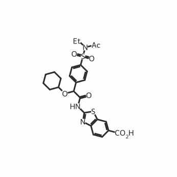 CCN(C(C)=O)S(=O)(=O)c1ccc(C(OC2CCCCC2)C(=O)Nc2nc3ccc(C(=O)O)cc3s2)cc1